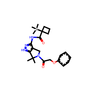 CC1(C)c2[nH]nc(NC(=O)C3([Si](C)(C)C)CCC3)c2CN1C(=O)COc1ccccc1